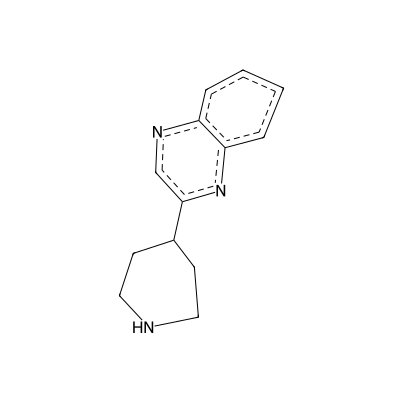 c1ccc2nc(C3CCNCC3)cnc2c1